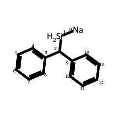 [Na][SiH2]C(c1ccccc1)c1ccccc1